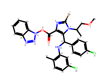 COCC(C)n1c(Br)nc(C(=O)On2nnc3ccccc32)c1C(Nc1cc(Cl)ccc1C)c1ccc(Cl)cc1